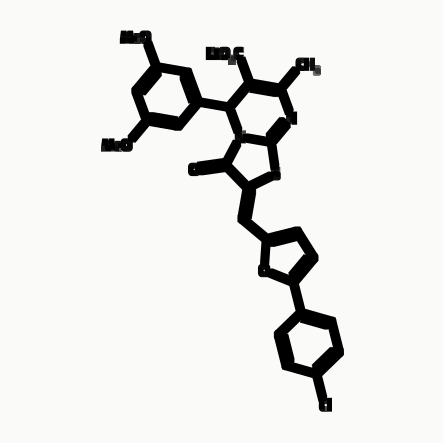 CCOC(=O)C1=C(C)N=c2s/c(=C\c3ccc(-c4ccc(Cl)cc4)o3)c(=O)n2C1c1cc(OC)cc(OC)c1